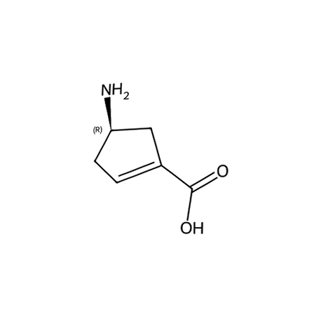 N[C@@H]1CC=C(C(=O)O)C1